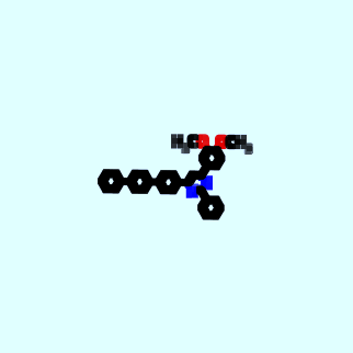 COc1ccc(-c2cc(-c3ccc(-c4ccc(-c5ccccc5)cc4)cc3)nc(-c3ccccc3)n2)cc1OC